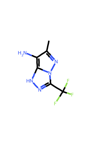 Cc1nn2c(C(F)(F)F)n[nH]c2c1N